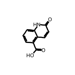 O=C(O)c1cccc2[nH]c(=O)ccc12